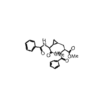 COC(=O)C(NC(=O)c1ccccc1)C1CC1C[C@H](NC(=O)c1ccccc1)C(=O)OC